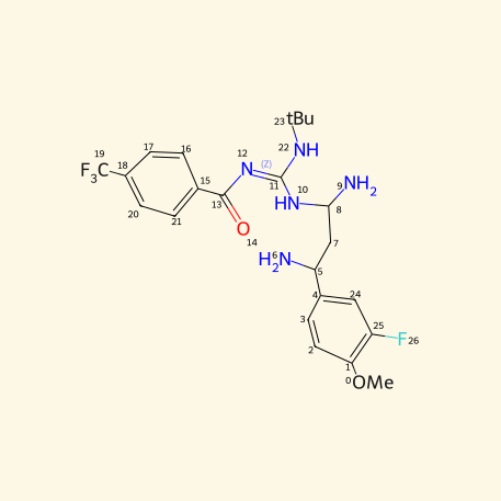 COc1ccc(C(N)CC(N)N/C(=N\C(=O)c2ccc(C(F)(F)F)cc2)NC(C)(C)C)cc1F